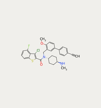 C#Cc1ccc(-c2ccc(OC)c(CN(C(=O)c3sc4cccc(F)c4c3Cl)[C@H]3CC[C@H](NC)CC3)c2)cc1